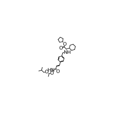 CC(C)COC(C)ONC(=O)/C=C/c1ccc(CN[C@H](C(=O)OC2CCCC2)C2CCCCC2)cc1